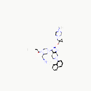 C=CC(=O)N1CCN(c2nc(OCC3(CN4CCN(C)CC4)CC3)nc3c2CCN(c2cccc4cccc(C)c24)C3)CC1CC#N